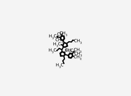 CCCCc1ccc(C(CCC)c2ccc(CCCC)c(-c3ccc(C)c(C(C)(C)C)c3)c2C)c(C)c1-c1ccc(C)c(C(C)(C)C)c1